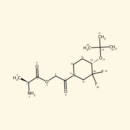 C[C@H](N)C(=O)OCC(=O)N1CC[C@H](OC(C)(C)C)C(F)(F)C1